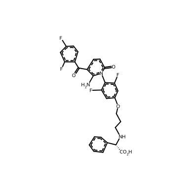 Nc1c(C(=O)c2ccc(F)cc2F)ccc(=O)n1-c1c(F)cc(OCCCN[C@H](C(=O)O)c2ccccc2)cc1F